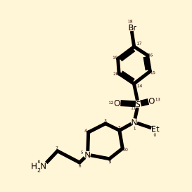 CCN(C1CCN(CCN)CC1)S(=O)(=O)c1ccc(Br)cc1